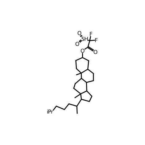 CC(C)CCCC(C)C1CCC2C3CCC4CC(OC(=O)C(F)(F)[SH](=O)=O)CCC4(C)C3CCC12C